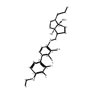 CCCC1CC[C@H]2C(COc3ccc(-c4ccc(OCC)c(F)c4F)c(F)c3F)CC[C@@H]12